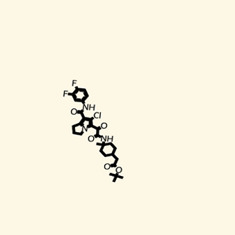 CC1(NC(=O)C(=O)c2c(Cl)c(C(=O)Nc3ccc(F)c(F)c3)c3n2CCC3)CCC(CC(=O)OC(C)(C)C)CC1